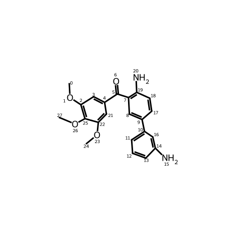 COc1cc(C(=O)c2cc(-c3cccc(N)c3)ccc2N)cc(OC)c1OC